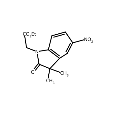 CCOC(=O)CN1C(=O)C(C)(C)c2cc([N+](=O)[O-])ccc21